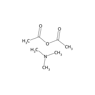 CC(=O)OC(C)=O.CN(C)C